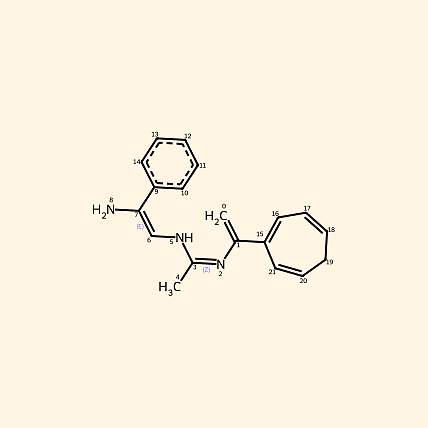 C=C(/N=C(/C)N/C=C(/N)c1ccccc1)C1=CC=CCC=C1